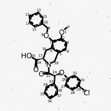 COc1ccc2c(c1OCc1ccccc1)C[C@H](C(=O)O)N(C(=O)[C@@H](Oc1ccc(Cl)cc1)c1ccccc1)C2